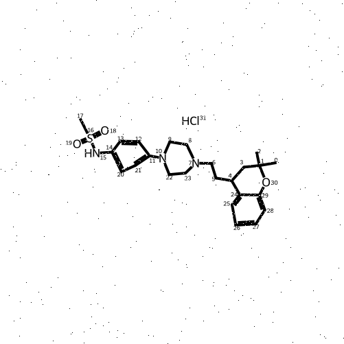 CC1(C)CC(CCN2CCN(c3ccc(NS(C)(=O)=O)cc3)CC2)c2ccccc2O1.Cl